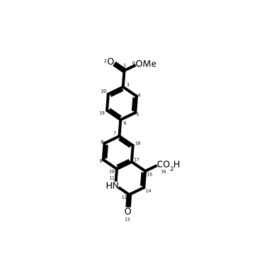 COC(=O)c1ccc(-c2ccc3[nH]c(=O)cc(C(=O)O)c3c2)cc1